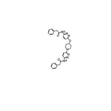 O=C(Cc1ccccc1)Nc1ccc(OC2CCN(c3ccc(NC(=O)Cc4ccccc4)nn3)CC2)nn1